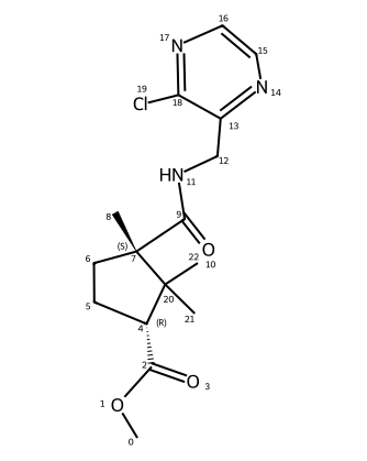 COC(=O)[C@@H]1CC[C@](C)(C(=O)NCc2nccnc2Cl)C1(C)C